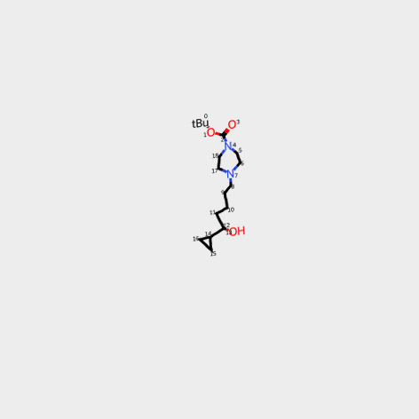 CC(C)(C)OC(=O)N1CCN(CCCCC(O)C2CC2)CC1